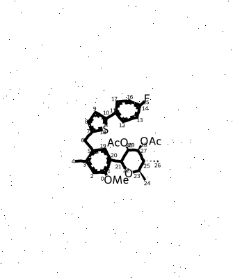 COc1cc(C)c(Cc2ccc(-c3ccc(F)cc3)s2)cc1C1O[C@H](C)[C@@H](C)[C@H](OC(C)=O)[C@H]1OC(C)=O